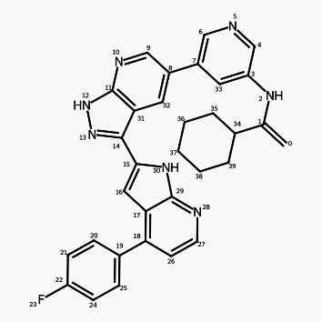 C=C(Nc1cncc(-c2cnc3[nH]nc(-c4cc5c(-c6ccc(F)cc6)ccnc5[nH]4)c3c2)c1)C1CCCCC1